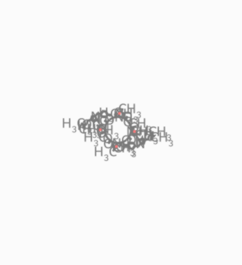 CC(C)C[C@H]1C(=O)O[C@H](Cc2ccc(Cn3cc(COC(C)C)cn3)cc2)C(=O)N(C)[C@@H](CC(C)C)C(=O)O[C@H](C)C(=O)N(C)[C@@H](CC(C)C)C(=O)O[C@H](Cc2ccc(Cn3cc(COC(C)C)cn3)cc2)C(=O)N(C)[C@@H](CC(C)C)C(=O)O[C@H](C)C(=O)N1C